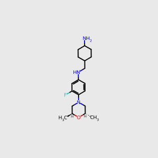 C[C@H]1CN(c2ccc(NCC3CCC(N)CC3)cc2F)C[C@H](C)O1